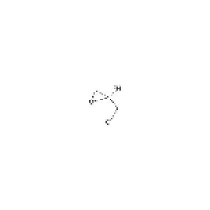 [2H][C@@]1(CCl)CO1